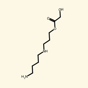 NCCCCNCCCOC(=O)CO